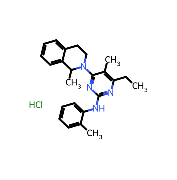 CCc1nc(Nc2ccccc2C)nc(N2CCc3ccccc3C2C)c1C.Cl